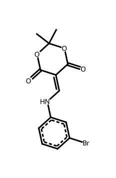 CC1(C)OC(=O)C(=CNc2cccc(Br)c2)C(=O)O1